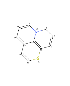 C1=CN2CC=CC3=C2C(=C1)C=CS3